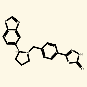 O=c1[nH]nc(-c2ccc(CN3CCC[C@H]3c3ccc4scnc4c3)cc2)o1